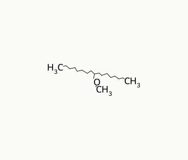 CCCCCCCCC(CCCCCCCC)COCC